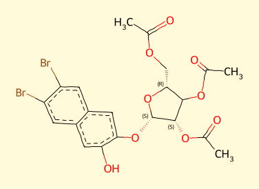 CC(=O)OC[C@H]1O[C@@H](Oc2cc3cc(Br)c(Br)cc3cc2O)[C@@H](OC(C)=O)C1OC(C)=O